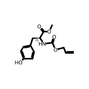 C=CCOC(=O)N[C@@H](Cc1ccc(O)cc1)C(=O)OC